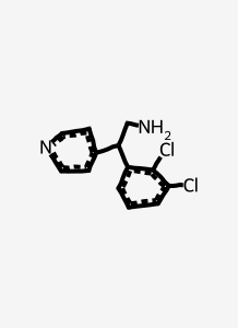 NCC(c1ccncc1)c1cccc(Cl)c1Cl